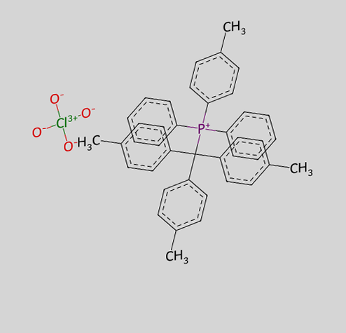 Cc1ccc(C(c2ccc(C)cc2)(c2ccc(C)cc2)[P+](c2ccccc2)(c2ccccc2)c2ccc(C)cc2)cc1.[O-][Cl+3]([O-])([O-])[O-]